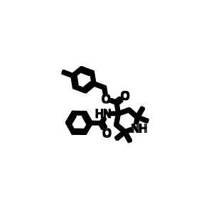 Cc1ccc(COC(=O)C2(NC(=O)c3ccccc3)CC(C)(C)NC(C)(C)C2)cc1